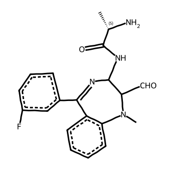 C[C@H](N)C(=O)NC1N=C(c2cccc(F)c2)c2ccccc2N(C)C1C=O